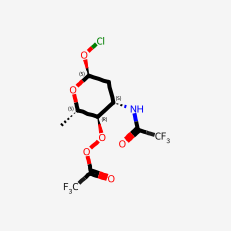 C[C@@H]1O[C@@H](OCl)C[C@H](NC(=O)C(F)(F)F)[C@H]1OOC(=O)C(F)(F)F